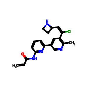 C=CC(=O)Nc1cccc(-c2cnc(C)c(/C(Cl)=C\C3CCN3)c2)n1